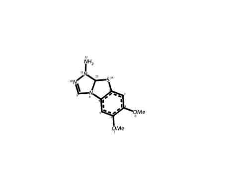 COc1cc2c(cc1OC)N1C=NN(N)C1S2